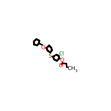 CCCC(=O)Oc1ccc(Sc2cccc(OCc3ccccc3)c2)cc1Cl